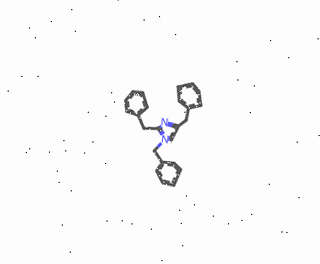 [c]1c(Cc2ccccc2)nc(Cc2ccccc2)n1Cc1ccccc1